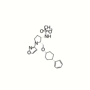 CS(=O)(=O)N[C@H]1CCN(c2ccon2)[C@H]1CO[C@H]1CC[C@@H](c2ccccc2)CC1